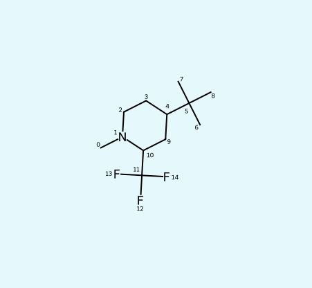 CN1CCC(C(C)(C)C)CC1C(F)(F)F